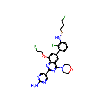 Nc1ncc(-c2nc(N3CCOCC3)c3cc(-c4cccc(NSCCCF)c4F)cc(OCCF)c3n2)cn1